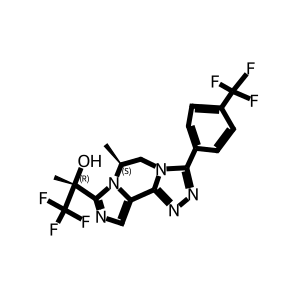 C[C@H]1Cn2c(-c3ccc(C(F)(F)F)cc3)nnc2-c2cnc([C@@](C)(O)C(F)(F)F)n21